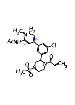 C=CC(=O)N1CCN(S(C)(=O)=O)CC1c1cc(Cl)cc(C(/C=C(\N=C)NC(C)=O)=C/C)c1